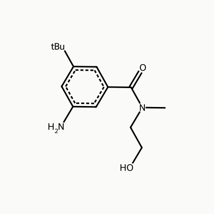 CN(CCO)C(=O)c1cc(N)cc(C(C)(C)C)c1